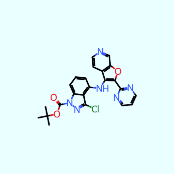 CC(C)(C)OC(=O)n1nc(Cl)c2c(Nc3c(-c4ncccn4)oc4cnccc34)cccc21